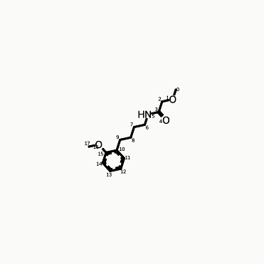 COCC(=O)NCCCCc1ccccc1OC